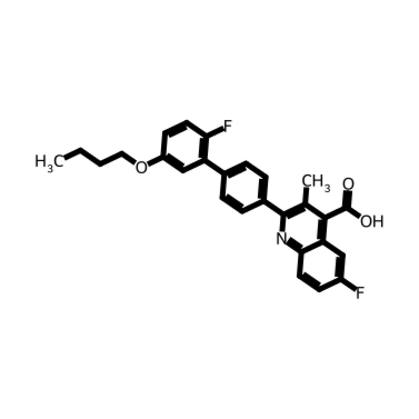 CCCCOc1ccc(F)c(-c2ccc(-c3nc4ccc(F)cc4c(C(=O)O)c3C)cc2)c1